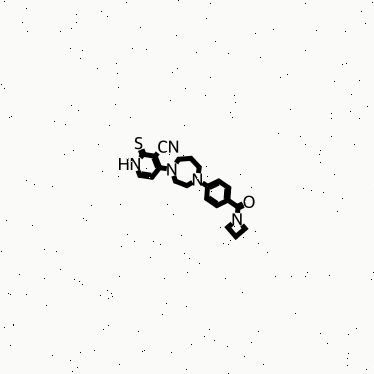 N#Cc1c(N2CCCN(c3ccc(C(=O)N4CCC4)cc3)CC2)cc[nH]c1=S